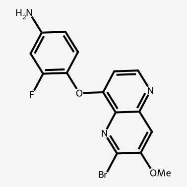 COc1cc2nccc(Oc3ccc(N)cc3F)c2nc1Br